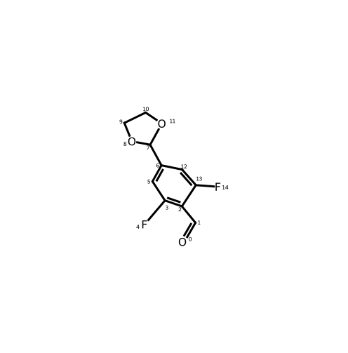 O=Cc1c(F)cc(C2OCCO2)cc1F